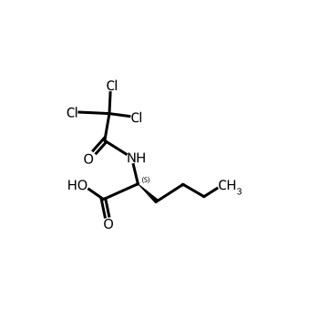 CCCC[C@H](NC(=O)C(Cl)(Cl)Cl)C(=O)O